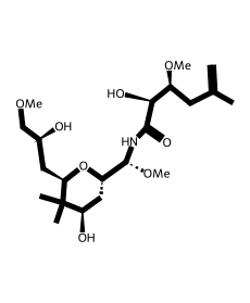 C=C(C)C[C@H](OC)[C@H](O)C(=O)N[C@H](OC)[C@@H]1C[C@@H](O)C(C)(C)[C@@H](C[C@H](O)COC)O1